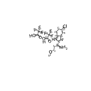 COCC[C@H](N)c1nc2cc(Cl)ccc2[nH]1.O=C(O)C(F)(F)F.O=C(O)C(F)(F)F